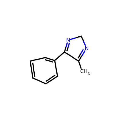 CC1=NCN=C1c1ccccc1